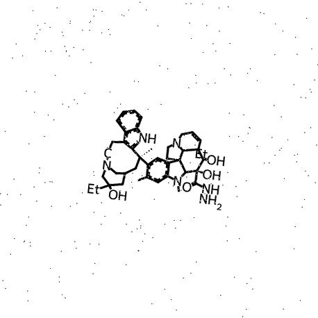 CCC1(O)CC2C[N@](CCc3c([nH]c4ccccc34)[C@@](C)(c3cc4c(cc3C)N(C)C3[C@]45CCN4CC=C[C@](CC)(C45)[C@@H](O)[C@]3(O)C(=O)NN)C2)C1